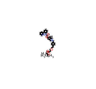 CC(C)(C)OC(=O)CCOCCc1ccc(CN2CC3CC(OC(=O)Nc4ccccc4-c4ccccc4)C[C@H]3C2)cc1